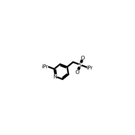 CC(C)c1cc(CS(=O)(=O)C(C)C)ccn1